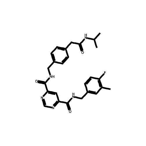 Cc1cc(CNC(=O)c2cc(C(=O)NCc3ccc(CC(=O)NC(C)C)cc3)ncn2)ccc1F